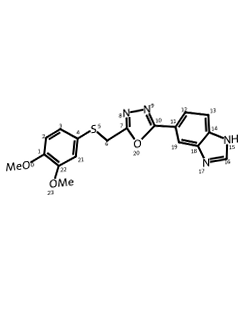 COc1ccc(SCc2nnc(-c3ccc4[nH]cnc4c3)o2)cc1OC